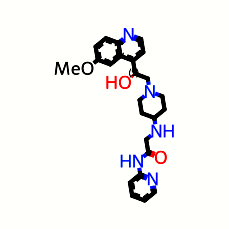 COc1ccc2nccc([C@H](O)CN3CCC(NCC(=O)Nc4ccccn4)CC3)c2c1